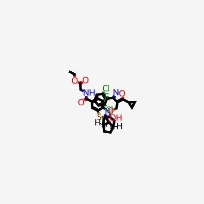 CCOC(=O)CNC(=O)c1cc(F)c2nc(C3(O)[C@@H]4CC[C@H]3CC(OCc3c(-c5c(Cl)cccc5Cl)noc3C3CC3)C4)sc2c1